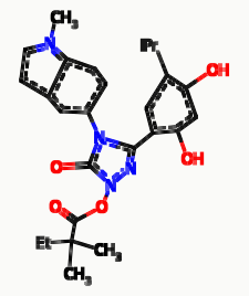 CCC(C)(C)C(=O)On1nc(-c2cc(C(C)C)c(O)cc2O)n(-c2ccc3c(ccn3C)c2)c1=O